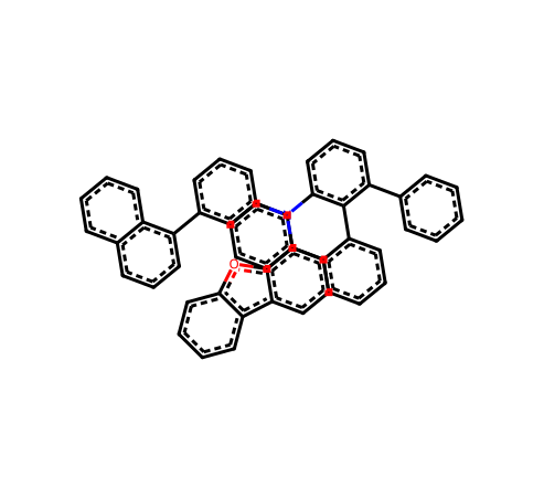 c1ccc(-c2ccccc2-c2c(-c3ccccc3)cccc2N(c2cccc(-c3cccc4ccccc34)c2)c2cccc3c2oc2ccccc23)cc1